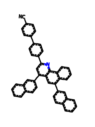 N#Cc1ccc(-c2ccc(-c3cc(-c4ccc5ccccc5c4)c4cc(-c5ccc6ccccc6c5)c5ccccc5c4n3)cc2)cc1